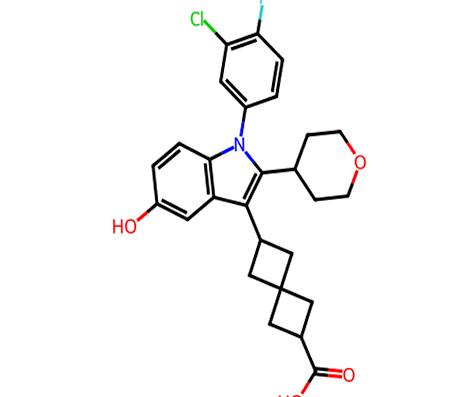 O=C(O)C1CC2(C1)CC(c1c(C3CCOCC3)n(-c3ccc(F)c(Cl)c3)c3ccc(O)cc13)C2